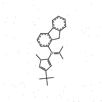 C[C](C)=[Zr]([C]1=CC(C(C)(C)C)=CC1C)[c]1cccc2c1Cc1ccccc1-2